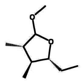 CC[C@H]1OC(OC)[C@@H](C)[C@@H]1C